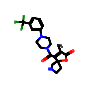 CC1=C(C(=O)N2CCN(c3cccc(C(F)(F)F)c3)CC2)C2(CCNC2)OC1=O